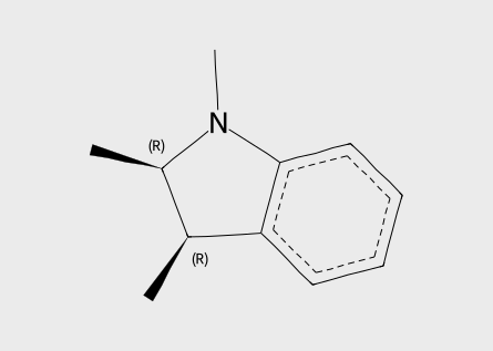 C[C@@H]1c2ccccc2N(C)[C@@H]1C